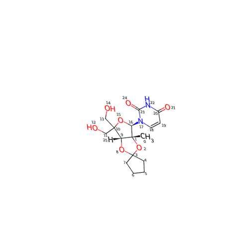 C[C@@]12OC3(CCCC3)O[C@@H]1C(CO)(CO)O[C@H]2n1ccc(=O)[nH]c1=O